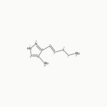 CC(C)(C)CSC=Cc1n[nH]cc1C(C)(C)C